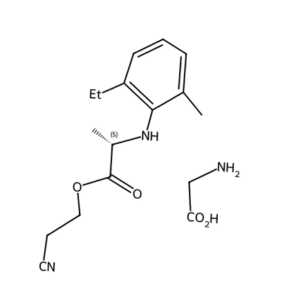 CCc1cccc(C)c1N[C@@H](C)C(=O)OCCC#N.NCC(=O)O